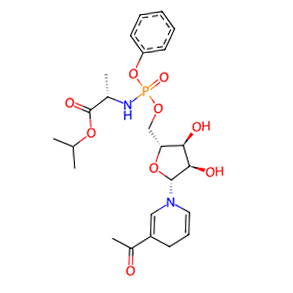 CC(=O)C1=CN([C@@H]2O[C@H](COP(=O)(N[C@@H](C)C(=O)OC(C)C)Oc3ccccc3)[C@@H](O)[C@H]2O)C=CC1